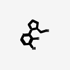 OC[C@@H]1CCCN1c1nccc(S)c1Cl